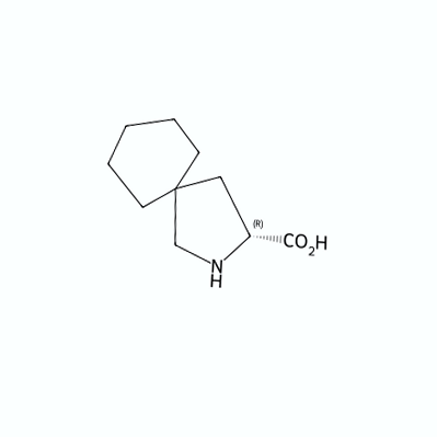 O=C(O)[C@H]1CC2(CCCCC2)CN1